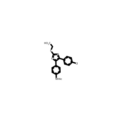 CC(=O)Nc1ccc(-c2oc(SCC(=O)O)nc2-c2ccc(Cl)cc2)cc1